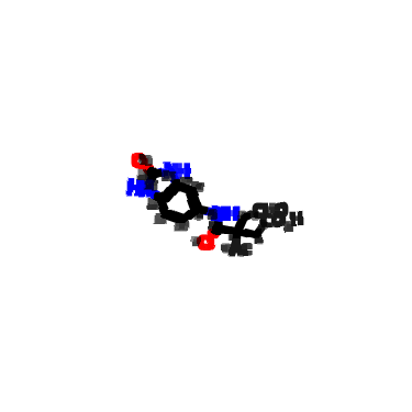 CC(=O)C(CC=O)(CC(=O)O)C(=O)Nc1ccc2[nH]c(=O)[nH]c2c1